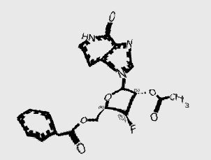 CC(=O)O[C@H]1C(n2cnc3c(=O)[nH]ccc32)O[C@H](COC(=O)c2ccccc2)[C@@H]1F